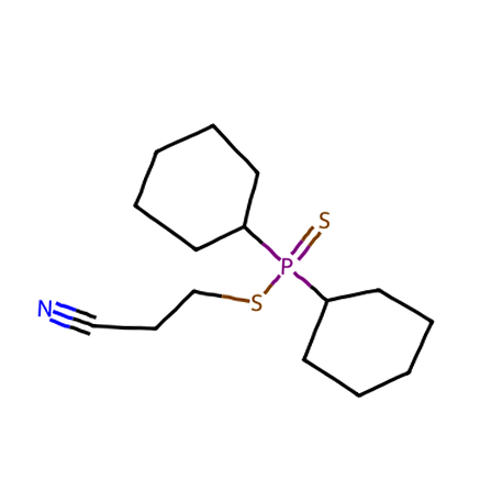 N#CCCSP(=S)(C1CCCCC1)C1CCCCC1